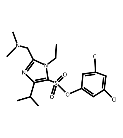 CCn1c(CN(C)C)nc(C(C)C)c1S(=O)(=O)Oc1cc(Cl)cc(Cl)c1